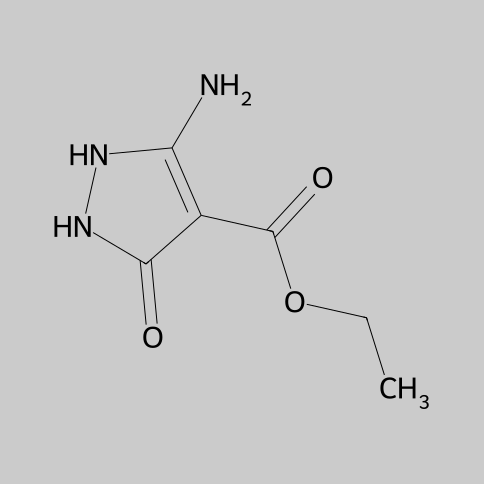 CCOC(=O)c1c(N)[nH][nH]c1=O